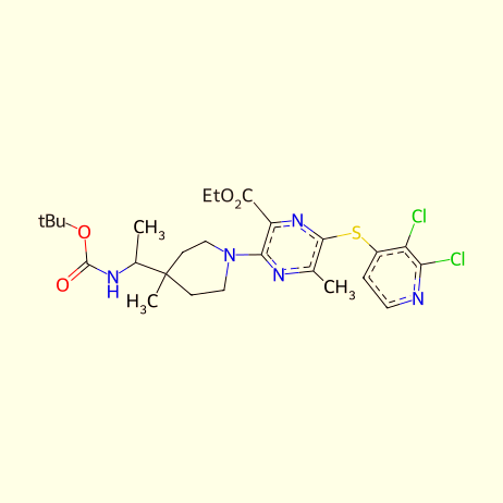 CCOC(=O)c1nc(Sc2ccnc(Cl)c2Cl)c(C)nc1N1CCC(C)(C(C)NC(=O)OC(C)(C)C)CC1